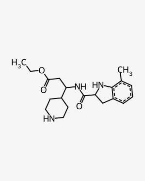 CCOC(=O)CC(NC(=O)C1Cc2cccc(C)c2N1)C1CCNCC1